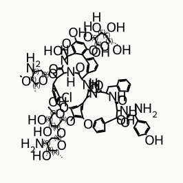 CO[C@@H]1[C@@H](N)C[C@H](OC2c3ccc(c(Cl)c3)Oc3cc4cc(c3O[C@H]3O[C@H](CO)[C@@H](O)[C@H](O)[C@H]3O[C@H]3C[C@H](N)[C@@H](O)[C@@H](C)O3)Oc3ccc(cc3)C(O)C(NC(=O)C(N)c3ccc(O)cc3)C(=O)NC(Cc3ccccc3)C(=O)NC4C(=O)NC3C(=O)NC2C(=O)NC(C(=O)O)c2cc(O)cc(O[C@H]4O[C@@H](CO)[C@@H](O)[C@H](O)[C@@H]4O)c2-c2cc3ccc2O)O[C@@H]1C